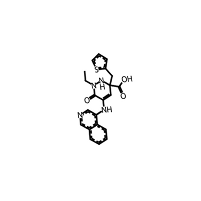 CCN1NC(Cc2cccs2)(C(=O)O)C=C(Nc2cncc3ccccc23)C1=O